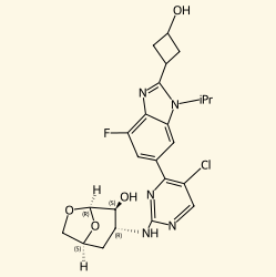 CC(C)n1c(C2CC(O)C2)nc2c(F)cc(-c3nc(N[C@@H]4C[C@H]5CO[C@H](O5)[C@H]4O)ncc3Cl)cc21